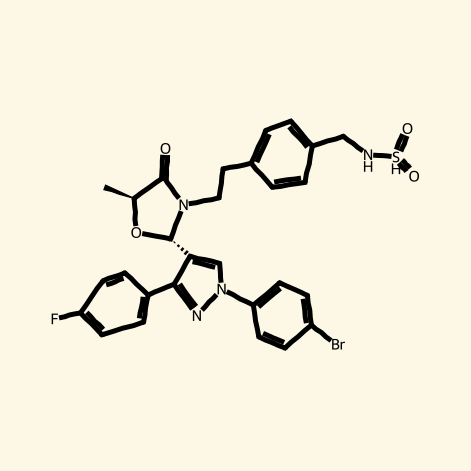 C[C@@H]1O[C@@H](c2cn(-c3ccc(Br)cc3)nc2-c2ccc(F)cc2)N(CCc2ccc(CN[SH](=O)=O)cc2)C1=O